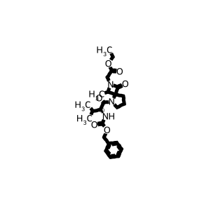 CCOC(=O)CN1C(=O)C2(CCCN2C(=O)[C@@H](NC(=O)OCc2ccccc2)C(C)C)C1C